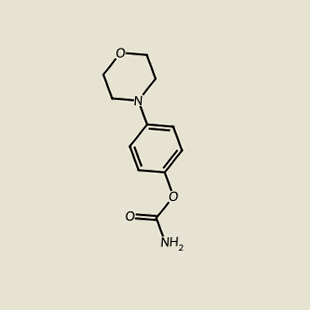 NC(=O)Oc1ccc(N2CCOCC2)cc1